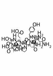 C[C@@H](O)[C@H](NC(=O)[C@@H](CO)NC(=O)[C@H](CCC(=O)O)NC(=O)[C@@H]1CCCN1C(=O)[C@@H](CC(N)=O)NC(=O)[C@@H](Cc1ccc(O)cc1)NC(=O)[C@@H](N)CC(N)=O)C(=O)O